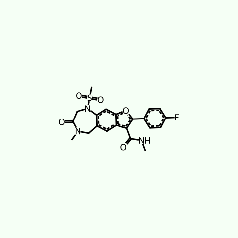 CNC(=O)c1c(-c2ccc(F)cc2)oc2cc3c(cc12)CN(C)C(=O)CN3S(C)(=O)=O